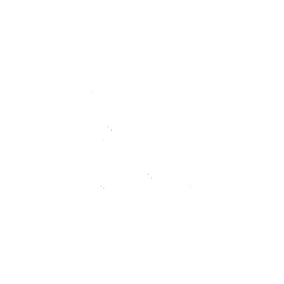 CC(=O)OCCNC(=O)c1cc(N)cc(C(=O)NCCOC(C)=O)c1